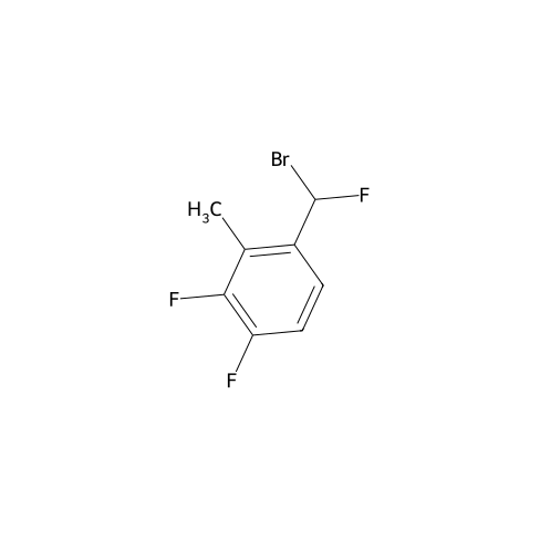 Cc1c(C(F)Br)ccc(F)c1F